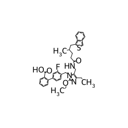 CCOc1nc(CC)c(CNC(=O)CCC(C)Cc2scc3ccccc23)n1Cc1ccc(-c2ccccc2C(=O)O)cc1F